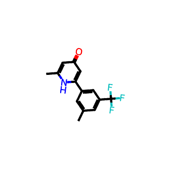 Cc1cc(-c2cc(=O)cc(C)[nH]2)cc(C(F)(F)F)c1